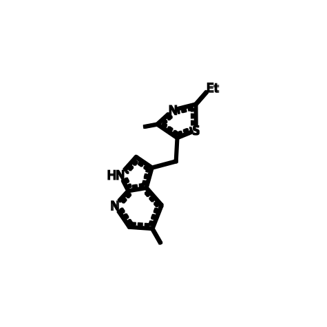 CCc1nc(C)c(Cc2c[nH]c3ncc(C)cc23)s1